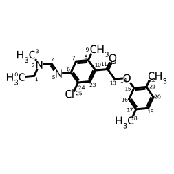 CCN(C)C=Nc1cc(C)c(C(=O)COc2cc(C)ccc2C)cc1Cl